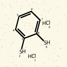 Cl.Cl.Sc1ccccc1S